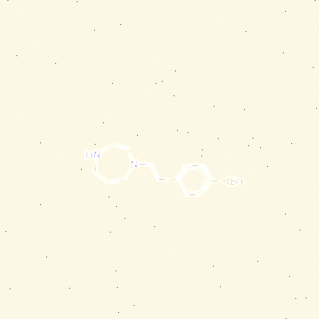 CC(C)(C)c1ccc(CCN2CCCNCC2)cc1